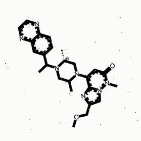 COCc1cn2c(n1)c(N1C[C@@H](C)N(C(C)c3ccc4nccnc4c3)CC1C)cc(=O)n2C